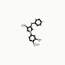 Nc1cn(-c2ccc(C(=O)O)c(O)c2)cc1Cc1ccccc1